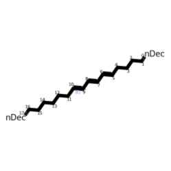 CCCCCCCCCCCCCCC=CC=C/[C]=C/CCCCCCCCCCCCCCCC